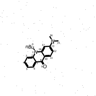 CCCCn1c2ccccc2c(=O)c2ccc(N(C)C)cc21